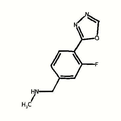 CNCc1ccc(-c2nnco2)c(F)c1